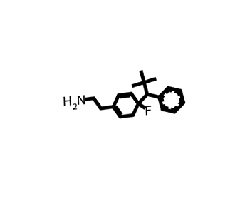 CC(C)(C)C(c1ccccc1)C1(F)C=CC(CCN)=CC1